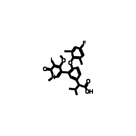 COc1c(-c2cc(C(C(=O)O)C(C)C)ccc2Oc2c(C)cc(F)cc2C)cn(C)c(=O)c1I